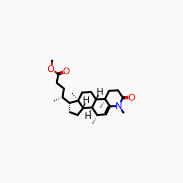 COC(=O)CC[C@@H](C)[C@H]1CC[C@H]2[C@@H]3[C@@H](C)C=C4N(C)C(=O)CC[C@]4(C)[C@H]3CC[C@]12C